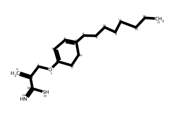 C=C(COC1=CC=C(CCCCCCCC)CC1)C(=N)S